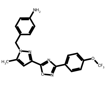 Cc1cc(-c2nc(-c3ccc(OC(F)(F)F)cc3)no2)nn1Cc1ccc(N)cc1